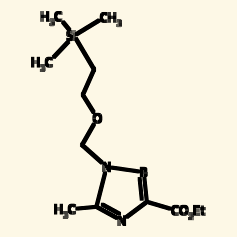 CCOC(=O)c1bn(COCC[Si](C)(C)C)c(C)n1